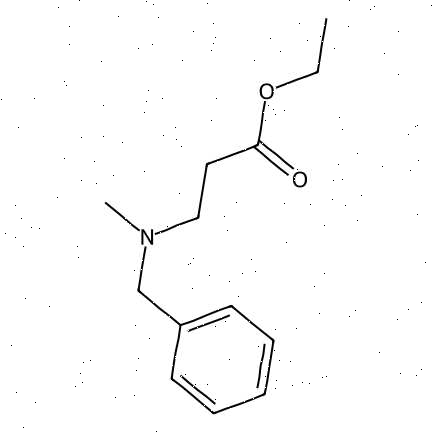 CCOC(=O)CCN(C)Cc1ccccc1